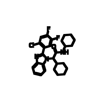 O=C(NC1CCCCC1)C(C1CCCCC1)n1c(-c2cc(F)c(F)cc2Cl)nc2ccccc21